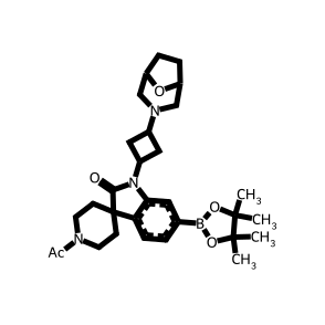 CC(=O)N1CCC2(CC1)C(=O)N(C1CC(N3CC4CCC(C3)O4)C1)c1cc(B3OC(C)(C)C(C)(C)O3)ccc12